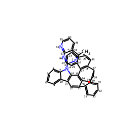 Cc1nc(-n2c3ccccc3c3cc4c5c(c32)-c2c(ccc3ccccc23)C(CC5)c2ccccc2-4)nc2ncccc12